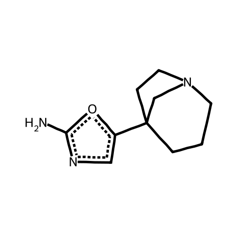 Nc1ncc(C23CCCN(CC2)C3)o1